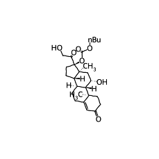 CCCCOC(=O)O[C@]1(C(=O)CO)CC[C@H]2[C@@H]3CCC4=CC(=O)CC[C@]4(C)[C@H]3[C@@H](O)C[C@@]21C